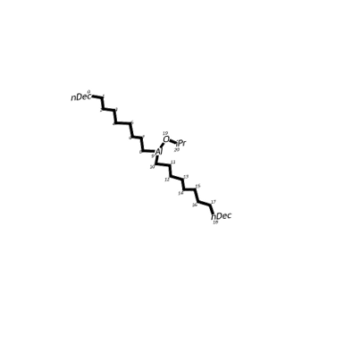 CCCCCCCCCCCCCCCCC[CH2][Al]([CH2]CCCCCCCCCCCCCCCCC)[O]C(C)C